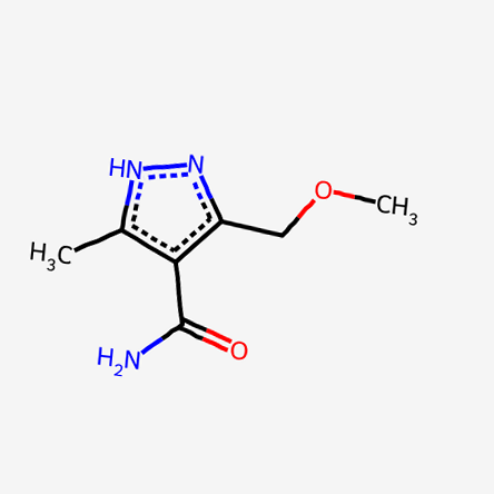 COCc1n[nH]c(C)c1C(N)=O